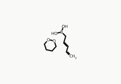 C1CCOOC1.C=CC=CCB(O)O